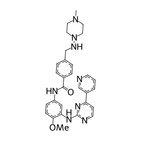 COc1ccc(NC(=O)c2ccc(CNN3CCN(C)CC3)cc2)cc1Nc1nccc(-c2cccnc2)n1